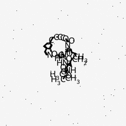 C=CC1C[C@]1(NC(=O)[C@@H]1C[C@@H]2CN1C(=O)[C@H](CCCC)NC(=O)OCCCCCc1ccc3ccnc(c3c1)O2)C(=O)NS(=O)(=O)C(C)(C)C